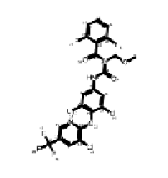 COCN(C(=O)Nc1cc(Cl)c(Oc2ncc(C(F)(F)F)cc2Cl)c(Cl)c1)C(=O)c1c(F)cccc1F